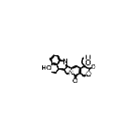 CCc1c2c(nc3cccc(O)c13)-c1cc3c(c(=O)n1C2)COC(=O)[C@]3(O)CC